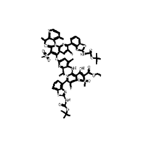 CCOC(=O)/C(=C(\O)c1cc(F)c(-c2cccc3sc(NC(=O)OC(C)(C)C)nc23)nc1Nc1c(C)cc(Oc2c(S(C)(=O)=O)c(=O)n(-c3c(C)ccnc3C(C)C)c3nc(-c4cccc5sc(NC(=O)OC(C)(C)C)nc45)c(F)cc23)nc1C(C)C)S(C)(=O)=O